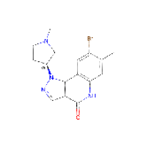 Cc1cc2[nH]c(=O)c3cnn([C@H]4CCN(C)C4)c3c2cc1Br